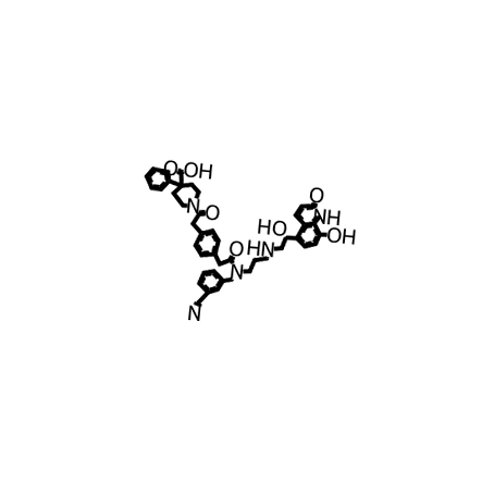 N#Cc1cccc(CN(CCCNCC(O)c2ccc(O)c3[nH]c(=O)ccc23)C(=O)Cc2ccc(CC(=O)N3CCC(C(=O)O)(c4ccccc4)CC3)cc2)c1